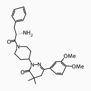 COc1ccc(C2=NN(C3CCN(C(=O)[C@@H](N)Cc4ccccc4)CC3)C(=O)C(C)(C)C2)cc1OC